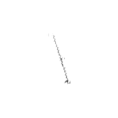 CCCCCCCCCCCCCCCCCC(=O)OCCCCCCCCCCCCCC(C)CC